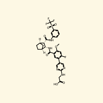 COc1cc(F)c(-c2cnc(NCC(=O)O)nc2)cc1C(=O)N[C@@H]1[C@H]2CC[C@H](C2)[C@@H]1C(=O)Nc1cccc(S(=O)(=O)C(F)(F)F)c1